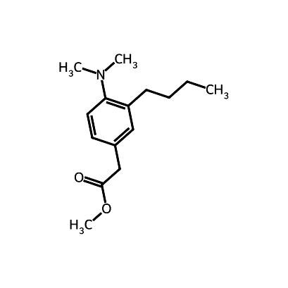 CCCCc1cc(CC(=O)OC)ccc1N(C)C